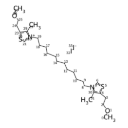 COCCc1sc[n+](CCCCCCCCCCCC[n+]2csc(CCOC)c2C)c1C.[I-].[I-]